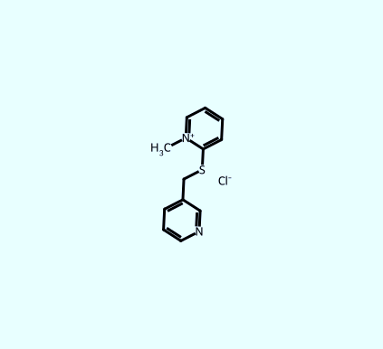 C[n+]1ccccc1SCc1cccnc1.[Cl-]